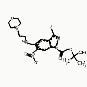 CC(C)(C)OC(=O)n1nc(I)c2cc(NCCN3CCOCC3)c([N+](=O)[O-])cc21